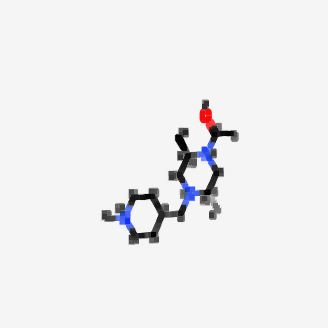 CC(=O)N1C[C@H](C)N(CC2CCN(C)CC2)C[C@H]1C